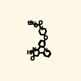 CC(C)(C)OC(=O)N1CCC(Oc2ccc(C3=NNC(=O)CC3c3ccccn3)cc2)CC1